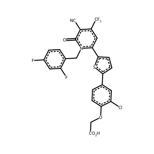 N#Cc1c(C(F)(F)F)cc(-c2ccc(-c3ccc(OCC(=O)O)c(Cl)c3)s2)n(Cc2ccc(F)cc2F)c1=O